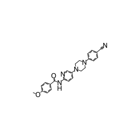 COc1ccc(C(=O)Nc2ccc(N3CCN(c4ccc(C#N)cc4)CC3)cn2)cc1